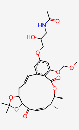 COCOc1cc(OCC(O)CNC(C)=O)cc2c1C(=O)O[C@@H](C)[C@H](C)/C=C\C(=O)C1OC(C)(C)OC1C/C=C/2